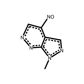 Cn1ncc2c(N=O)cnnc21